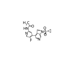 CC(=O)Nc1cc(-c2cncc3c2ccn3S(=O)(=O)C2CC2)c(F)cn1